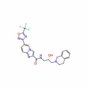 O=C(NC[C@H](O)CN1CCc2ccccc2C1)c1cn2cc(-c3noc(C(F)(F)F)n3)ccc2n1